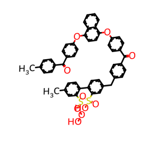 Cc1ccc(C(=O)c2ccc(Oc3ccc(Oc4ccc(C(=O)c5ccc(Cc6ccc(-c7ccc(C)cc7SOOO)c(S(=O)(=O)O)c6)cc5)cc4)c4ccccc34)cc2)cc1